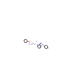 CCN(CC(O)(CNc1cccc2c1cnn2-c1ccc(F)cc1)C(F)(F)F)C(=O)c1ccccc1